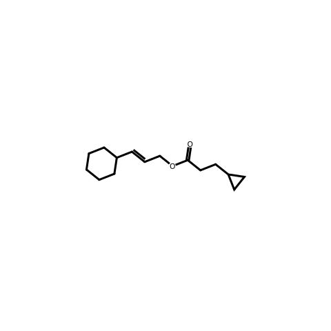 O=C(CCC1CC1)OCC=CC1CCCCC1